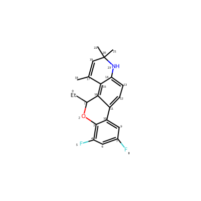 CCC1Oc2c(F)cc(F)cc2-c2ccc3c(c21)C(C)=CC(C)(C)N3